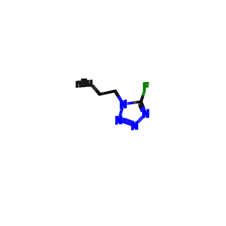 CCCCCCn1nnnc1F